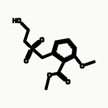 COC(=O)c1c(CS(=O)(=O)CCO)cccc1OC